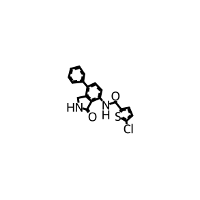 O=C(Nc1ccc(-c2ccccc2)c2c1C(=O)NC2)c1ccc(Cl)s1